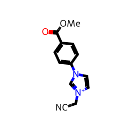 COC(=O)c1ccc(-n2cc[n+](CC#N)c2)cc1